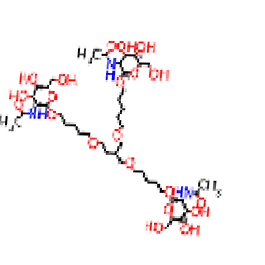 CC(=O)NC1C(O)[C@@H](O)C(CO)O[C@H]1OCCCCCOCC(CCOCCCCCO[C@@H]1OC(CO)[C@H](O)C(O)[C@@H]1NC(C)=O)COCCCCCO[C@@H]1OC(CO)[C@H](O)C(O)C1NC(C)=O